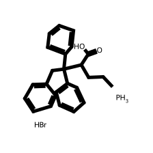 Br.CCCC(C(=O)O)C(Cc1ccccc1)(c1ccccc1)c1ccccc1.P